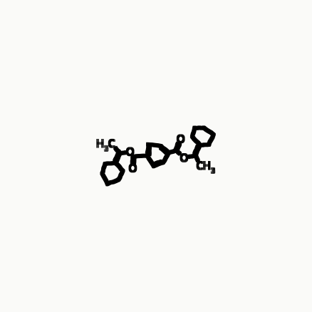 CC(OC(=O)c1ccc(C(=O)OC(C)=C2CCCCC2)cc1)=C1CCCCC1